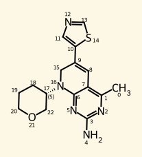 Cc1nc(N)nc2c1C=C(c1cncs1)CN2[C@H]1CCCOC1